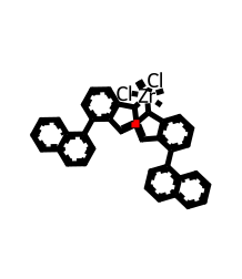 [CH2]=[Zr]([CH3])([CH3])([Cl])([Cl])([CH]1C=Cc2c(-c3cccc4ccccc34)cccc21)[CH]1C=Cc2c(-c3cccc4ccccc34)cccc21